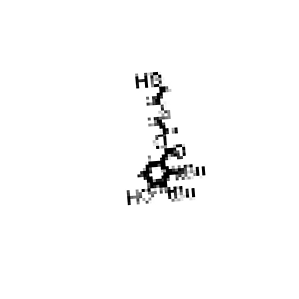 CC(C)(C)c1c(O)ccc(C(=O)OCCSCCO)c1C(C)(C)C